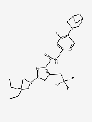 CCC1(CC)CN(c2nc(C(=O)Nc3ccc(N4CC5CC(C5)C4)c(F)c3)c(CC(F)(F)F)o2)C1